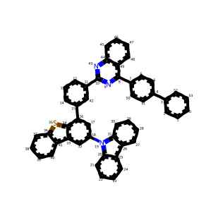 c1ccc(-c2ccc(-c3nc(-c4cccc(-c5cc(-n6c7ccccc7c7ccccc76)cc6c5sc5ccccc56)c4)nc4ccccc34)cc2)cc1